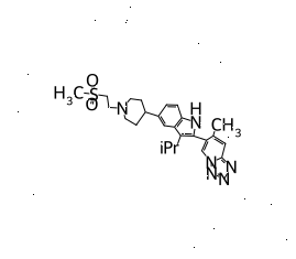 Cc1cc2nnnn2cc1-c1[nH]c2ccc(C3CCN(CCS(C)(=O)=O)CC3)cc2c1C(C)C